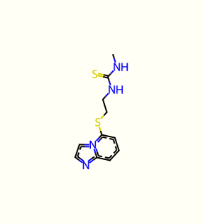 CNC(=S)NCCSc1cccc2nccn12